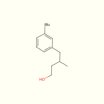 CC(CCO)Cc1cccc(C(C)(C)C)c1